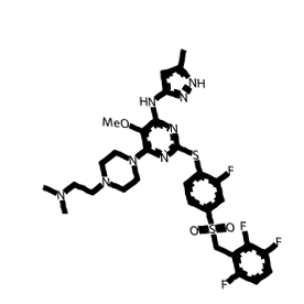 COc1c(Nc2cc(C)[nH]n2)nc(Sc2ccc(S(=O)(=O)Cc3c(F)ccc(F)c3F)cc2F)nc1N1CCN(CCN(C)C)CC1